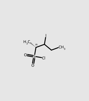 CCC(I)[C@@H](C)S(=O)(=O)Cl